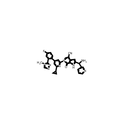 Cn1cnnc1-c1cc(F)ccc1-c1cc(C2CC2)nc(-n2cc(C#N)c3cc(C(N)c4cccnc4)[nH]c3c2=O)c1